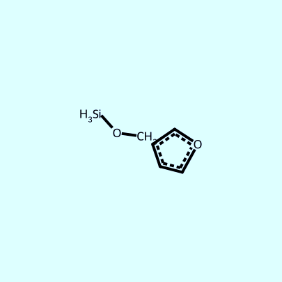 CO[SiH3].c1ccoc1